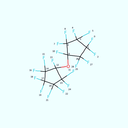 FC1(F)C(F)(F)C(F)(F)C(F)(OC2(F)C(F)(F)C(F)(F)C(F)(F)C2(F)F)C1(F)F